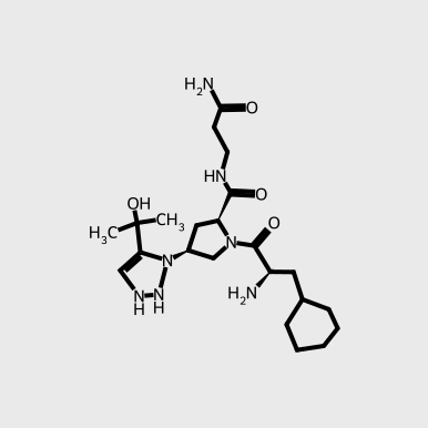 CC(C)(O)C1=CNNN1[C@H]1C[C@@H](C(=O)NCCC(N)=O)N(C(=O)[C@H](N)CC2CCCCC2)C1